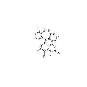 Cc1c2n(ccc1=O)N(C1c3ccccc3CSc3c(F)cccc31)CN(C)C2=O